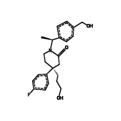 C[C@@H](c1ccc(CO)cc1)N1CC[C@](CCCO)(c2ccc(F)cc2)CC1=O